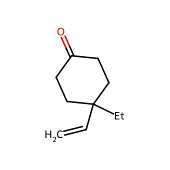 C=CC1(CC)CCC(=O)CC1